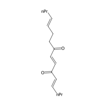 CCCC=CCCC(=O)C=CC(=O)C=CCCC